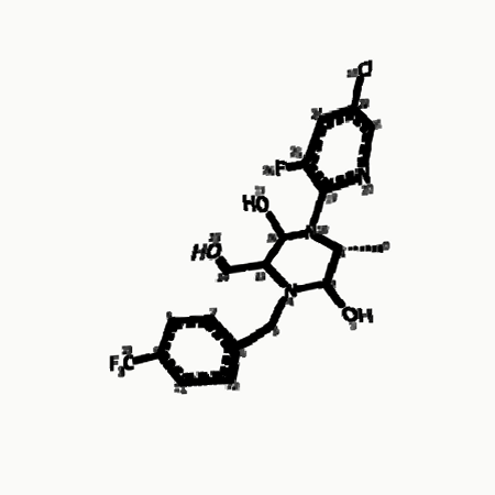 C[C@@H]1C(O)N(Cc2ccc(C(F)(F)F)cc2)C(CO)C(O)N1c1ncc(Cl)cc1F